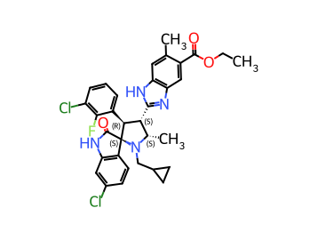 CCOC(=O)c1cc2nc([C@@H]3[C@H](C)N(CC4CC4)[C@@]4(C(=O)Nc5cc(Cl)ccc54)[C@H]3c3cccc(Cl)c3F)[nH]c2cc1C